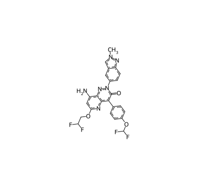 Cn1cc2cc(-n3nc4c(N)cc(OCC(F)F)nc4c(-c4ccc(OC(F)F)cc4)c3=O)ccc2n1